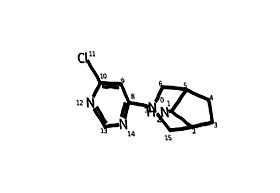 NC1C2CCC1CN(c1cc(Cl)ncn1)C2